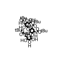 CC(C)(C)OC(=O)NCC1O[C@H](O[C@@H]2C(NC(=O)OC(C)(C)C)C[C@@H](NC(=O)OC(C)(C)C)[C@@H](O[C@H]3OC(CO)[C@@H](O)[C@@H](NC(=O)OC(C)(C)C)C3O)C2O)[C@@H](O)C(O)[C@@H]1O